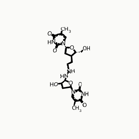 Cc1cn(C2CC(O)C(NNCCC3C[C@H](n4cc(C)c(=O)[nH]c4=O)O[C@@H]3CO)O2)c(=O)[nH]c1=O